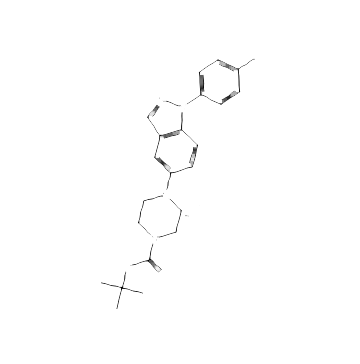 C[C@@H]1CN(C(=O)OC(C)(C)C)CCN1c1ccc2c(cnn2-c2ccc(F)cc2)c1